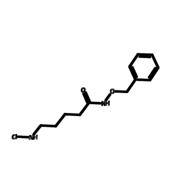 O=C(CCCCNCl)NOCc1ccccc1